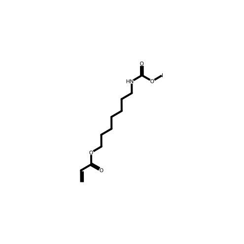 C=CC(=O)OCCCCCCCNC(=O)OI